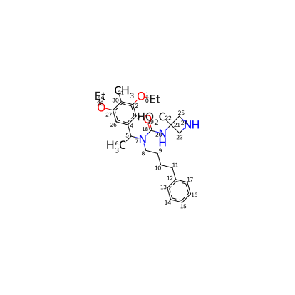 CCOc1cc(C(C)N(CCCCc2ccccc2)C(=O)NC2(C(=O)O)CNC2)cc(OCC)c1C